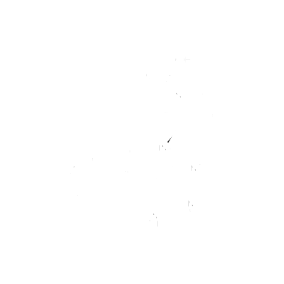 O=C(c1c[nH]c2ncnc(N[C@@H]3CCCN(C(=O)O)C3)c12)C1CCOC1